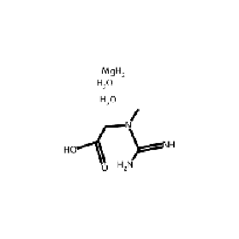 CN(CC(=O)O)C(=N)N.O.O.[MgH2]